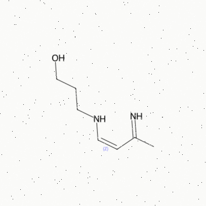 CC(=N)/C=C\NCCCO